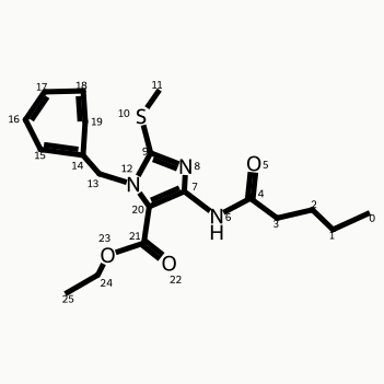 CCCCC(=O)Nc1nc(SC)n(Cc2ccccc2)c1C(=O)OCC